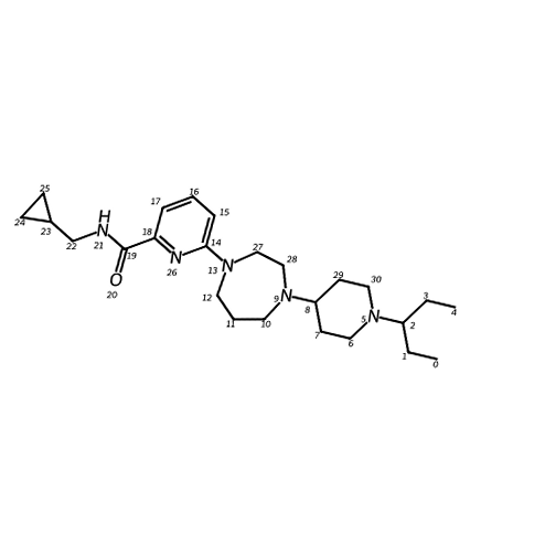 CCC(CC)N1CCC(N2CCCN(c3cccc(C(=O)NCC4CC4)n3)CC2)CC1